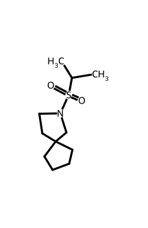 CC(C)S(=O)(=O)N1CCC2(CCCC2)C1